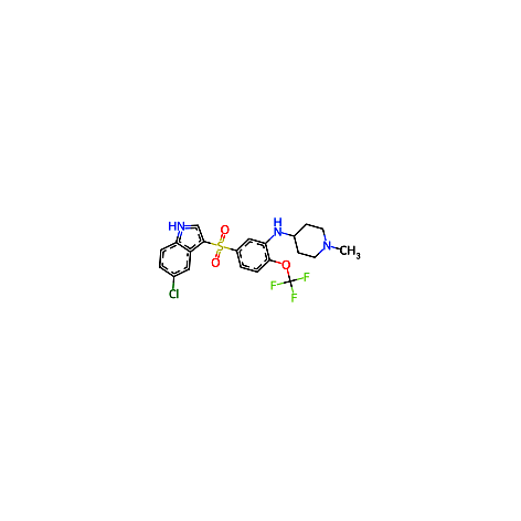 CN1CCC(Nc2cc(S(=O)(=O)c3c[nH]c4ccc(Cl)cc34)ccc2OC(F)(F)F)CC1